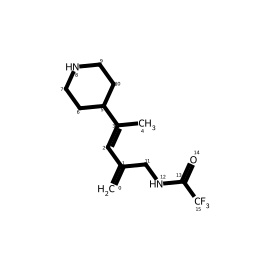 C=C(/C=C(\C)C1CCNCC1)CNC(=O)C(F)(F)F